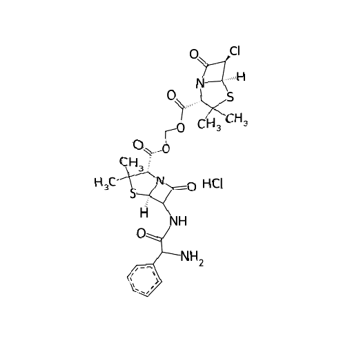 CC1(C)S[C@@H]2C(NC(=O)C(N)c3ccccc3)C(=O)N2[C@H]1C(=O)OCOC(=O)[C@@H]1N2C(=O)[C@@H](Cl)[C@H]2SC1(C)C.Cl